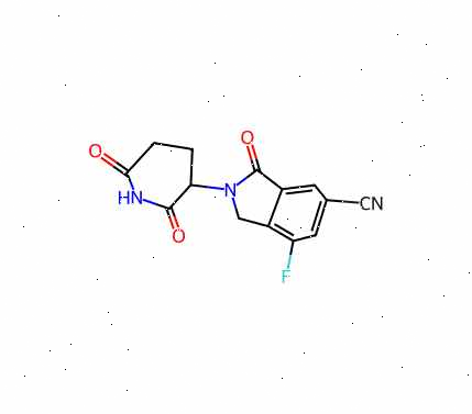 N#Cc1cc(F)c2c(c1)C(=O)N(C1CCC(=O)NC1=O)C2